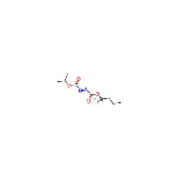 CCC[SiH2]OC(=O)N=NC(=O)OC(C)C